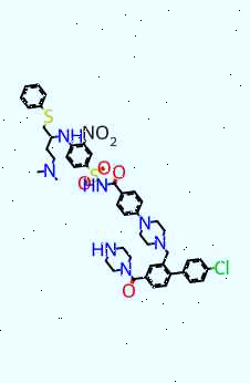 CN(C)CCC(CSc1ccccc1)Nc1ccc(S(=O)(=O)NC(=O)c2ccc(N3CCN(Cc4cc(C(=O)N5CCNCC5)ccc4-c4ccc(Cl)cc4)CC3)cc2)cc1[N+](=O)[O-]